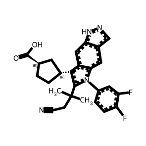 CC(C)(CC#N)c1c([C@@H]2CC[C@@H](C(=O)O)C2)c2cc3[nH]ncc3cc2n1-c1ccc(F)c(F)c1